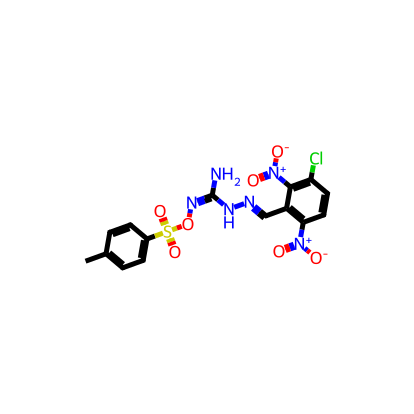 Cc1ccc(S(=O)(=O)ON=C(N)NN=Cc2c([N+](=O)[O-])ccc(Cl)c2[N+](=O)[O-])cc1